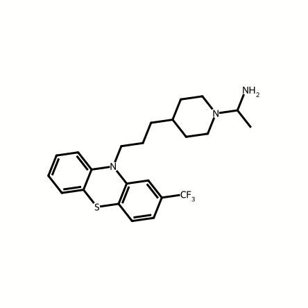 CC(N)N1CCC(CCCN2c3ccccc3Sc3ccc(C(F)(F)F)cc32)CC1